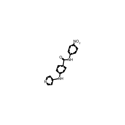 O=C(Nc1ccc([N+](=O)[O-])cc1)c1ccc(Nc2ccncc2)cc1